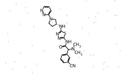 CN(C)C(C(=O)Nc1nnc(N[C@@H]2CCN(c3cccnn3)C2)s1)c1cccc(C#N)c1